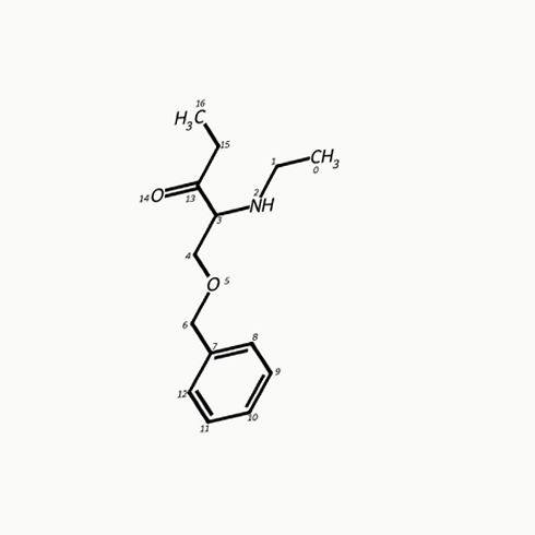 CCNC(COCc1ccccc1)C(=O)CC